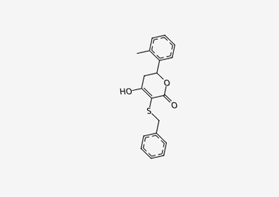 Cc1ccccc1C1CC(O)=C(SCc2ccccc2)C(=O)O1